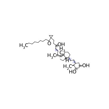 C=C1/C(=C\C=C2/CCC[C@]3(C)[C@@H]([C@H](C)/C=C/[C@H](O)CCC4(C(=O)CCCCCCCC)CC4)CC[C@@H]23)C[C@@H](O)C[C@@H]1O